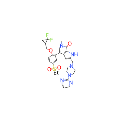 CCS(=O)(=O)c1ccc(OCC2CC2(F)F)c(-c2cn(C)c(=O)c3[nH]c(CN4CCN(c5ncccn5)CC4)cc23)c1